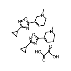 CN1CCC=C(c2nc(C3CC3)no2)C1.CN1CCC=C(c2nc(C3CC3)no2)C1.O=C(O)C(=O)O